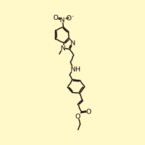 CCOC(=O)/C=C/c1ccc(CNCCc2nc3cc([N+](=O)[O-])ccc3n2C)cc1